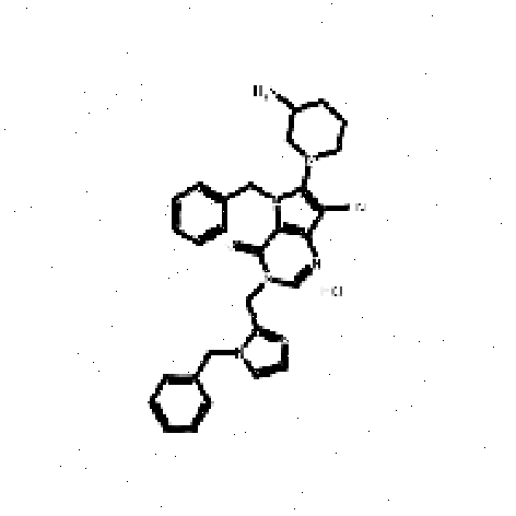 Cl.N#Cc1c(N2CCCC(N)C2)n(Cc2ccccc2)c2c(=O)n(Cc3nccn3Cc3ccccc3)cnc12